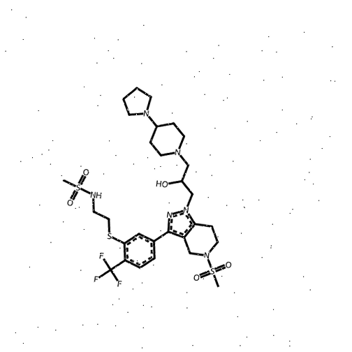 CS(=O)(=O)NCCSc1cc(-c2nn(CC(O)CN3CCC(N4CCCC4)CC3)c3c2CN(S(C)(=O)=O)CC3)ccc1C(F)(F)F